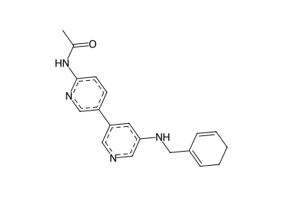 CC(=O)Nc1ccc(-c2cncc(NCC3=CCCC=C3)c2)cn1